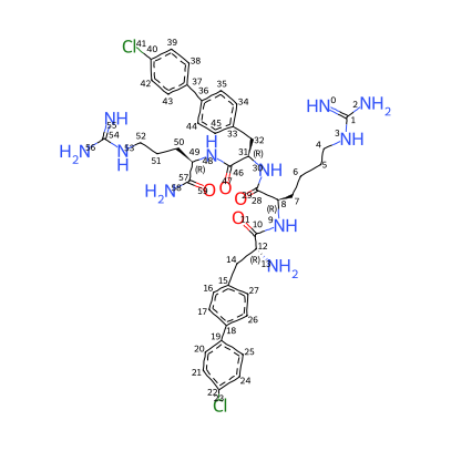 N=C(N)NCCCC[C@@H](NC(=O)[C@H](N)Cc1ccc(-c2ccc(Cl)cc2)cc1)C(=O)N[C@H](Cc1ccc(-c2ccc(Cl)cc2)cc1)C(=O)N[C@H](CCCNC(=N)N)C(N)=O